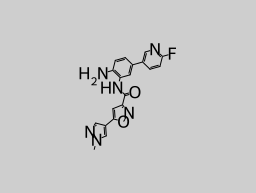 Cn1cc(-c2cc(C(=O)Nc3cc(-c4ccc(F)nc4)ccc3N)no2)cn1